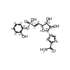 NC(=O)c1ncn([C@@H]2OC(/C=C/P(=O)(O)Oc3ccccc3O)[C@@H](O)[C@H]2O)n1